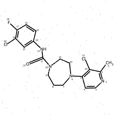 Cc1nccc(N2CCCN(C(=O)Nc3ccc(F)c(Cl)c3)CC2)c1Cl